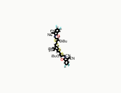 CC(C)COc1cc(/C=C2\C(=O)C3=C(C=C(F)C(F)C3)C2=C(C#N)C#N)sc1-c1cc2c(s1)-c1sc(-c3sc(/C=C4\C(=O)c5cc(F)c(F)cc5C4=C(C#N)C#N)cc3OCC(C)C)cc1C2(CC(C)C)CC(C)C